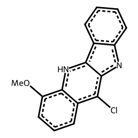 COc1cccc2c(Cl)c3nc4ccccc4c-3[nH]c12